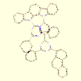 c1ccc(-c2nc(-c3ccc(-n4c5ccccc5c5ccc6c7ccccc7n(-c7nc(-c8ccccc8)nc(-c8ccccc8)n7)c6c54)cc3)nc(-c3cccc4c3ccc3ccccc34)n2)cc1